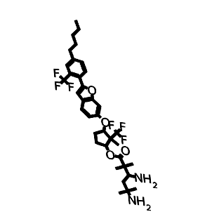 CCCCCc1ccc(-c2cc3ccc(OC4CCC(OC(=O)C(C)(C)C(N)CC(C)(C)N)C4(C)C(F)(F)F)cc3o2)c(C(F)(F)F)c1